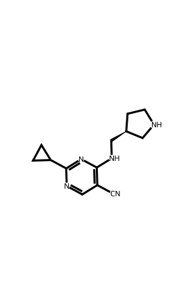 N#Cc1cnc(C2CC2)nc1NC[C@H]1CCNC1